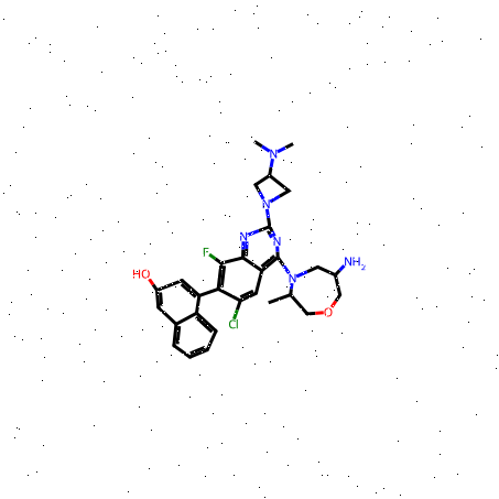 CC1COCC(N)CN1c1nc(N2CC(N(C)C)C2)nc2c(F)c(-c3cc(O)cc4ccccc34)c(Cl)cc12